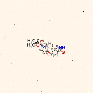 C[C@H]1C[C@H](Oc2ccc3c(c2)CNC3=O)CCN1C(=O)OC(C)(C)C